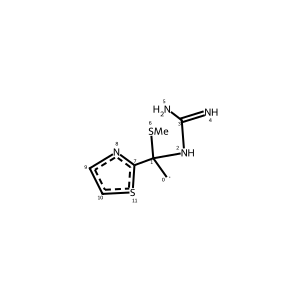 [CH2]C(NC(=N)N)(SC)c1nccs1